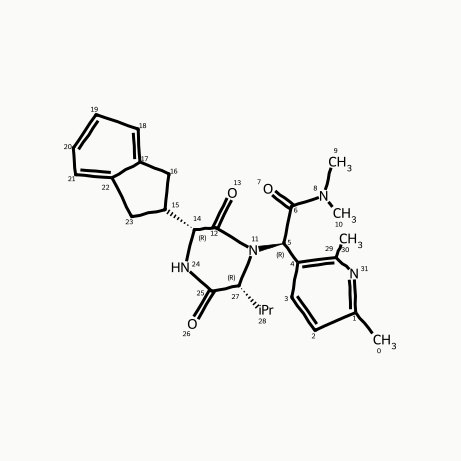 Cc1ccc([C@H](C(=O)N(C)C)N2C(=O)[C@@H](C3Cc4ccccc4C3)NC(=O)[C@H]2C(C)C)c(C)n1